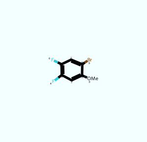 COc1cc(F)c(F)cc1Br